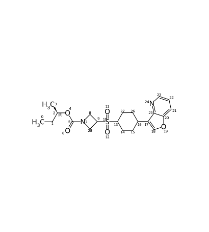 CC[C@@H](C)OC(=O)N1CC(S(=O)(=O)C2CCC(c3coc4cccnc34)CC2)C1